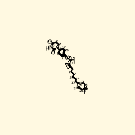 O=C1CCN(c2ccc(NC(=O)CCCCCCN3CCC(F)(F)CC3)cc2)C(=O)N1